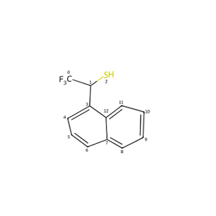 FC(F)(F)C(S)c1cccc2ccccc12